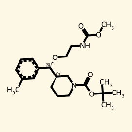 COC(=O)NCCO[C@@H](c1cccc(C)c1)[C@@H]1CCCN(C(=O)OC(C)(C)C)C1